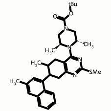 CSc1nc2c(c(N3[C@@H](C)CN(C(=O)OC(C)(C)C)C[C@@H]3C)n1)CC(C)C(c1cc(C)cc3ccccc13)C2